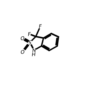 O=S1(=O)Nc2ccccc2C1(F)F